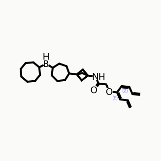 C=C/C=C\C(=C/C=C)OCC(=O)NC12CC(C3CCCC(BC4CCCCCCC4)CC3)(C1)C2